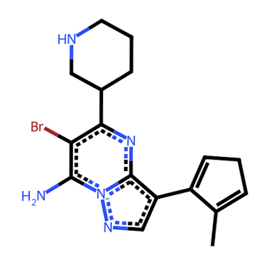 CC1=CCC=C1c1cnn2c(N)c(Br)c(C3CCCNC3)nc12